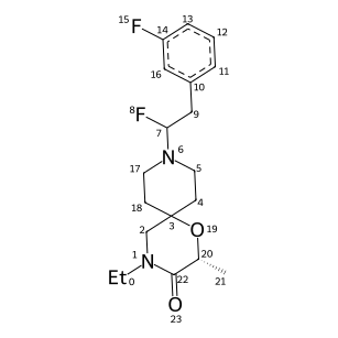 CCN1CC2(CCN(C(F)Cc3cccc(F)c3)CC2)O[C@H](C)C1=O